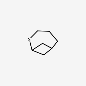 C1CSC2CC(C1)C2